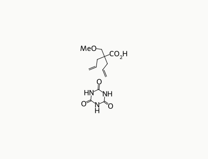 C=CCC(CC=C)(COC)C(=O)O.O=c1[nH]c(=O)[nH]c(=O)[nH]1